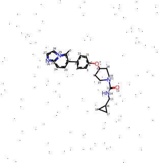 Cc1c(-c2ccc(OC3CCN(C(=O)NCC4CC4)CC3)cc2)ccc2nccn12